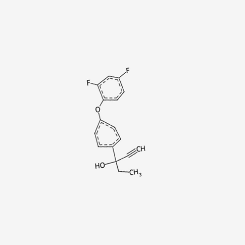 C#CC(O)(CC)c1ccc(Oc2ccc(F)cc2F)cc1